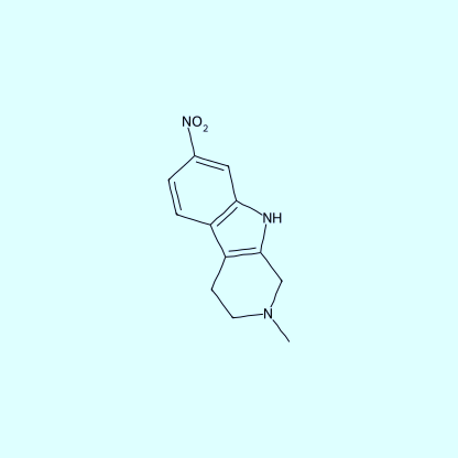 CN1CCc2c([nH]c3cc([N+](=O)[O-])ccc23)C1